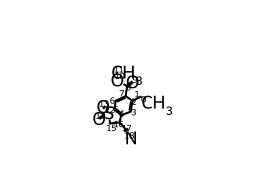 CCc1cc2c(cc1C(=O)OC)S(=O)(=O)CC2C#N